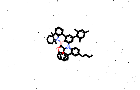 CCCCc1ccc(N2c3cc(-c4c(C)cc(C)cc4C)cc4c3B(C3Oc5ccccc5C32)N2c3c-4cccc3C3(C)CCCCC23C)c(-c2ccccc2)c1